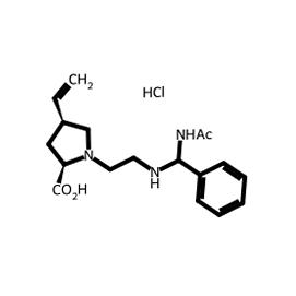 C=C[C@@H]1C[C@H](C(=O)O)N(CCNC(NC(C)=O)c2ccccc2)C1.Cl